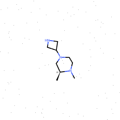 C[C@H]1CN(C2CNC2)CCN1C